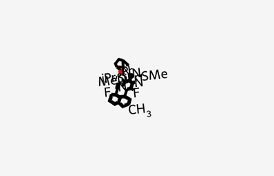 COc1nc(-c2cc(C)cc3ccc(F)c(C#C[Si](C(C)C)(C(C)C)C(C)C)c23)c(F)c2nc(SC)nc(N3CC4CCC(C4)C3)c12